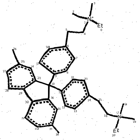 CC[N+](C)(C)CCc1ccc(C2(c3ccc(CC[N+](C)(C)CC)cc3)c3cc(C)ccc3-c3ccc(C)cc32)cc1